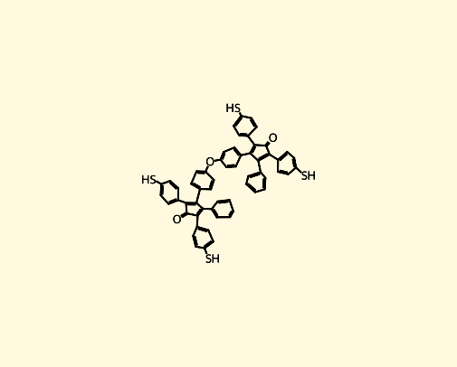 O=C1C(c2ccc(S)cc2)=C(c2ccccc2)C(c2ccc(Oc3ccc(C4=C(c5ccc(S)cc5)C(=O)C(c5ccc(S)cc5)=C4c4ccccc4)cc3)cc2)=C1c1ccc(S)cc1